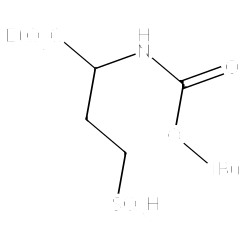 CCOC(=O)C(CCS(=O)(=O)O)NC(=O)OC(C)(C)C